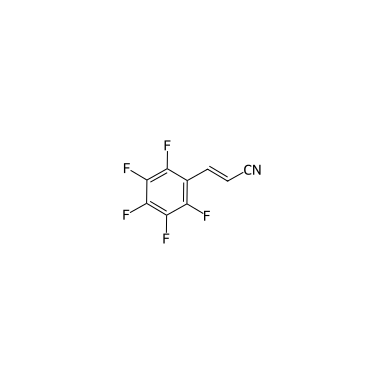 N#C/C=C/c1c(F)c(F)c(F)c(F)c1F